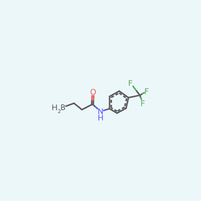 BCCC(=O)Nc1ccc(C(F)(F)F)cc1